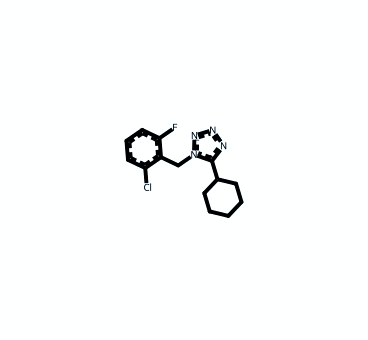 Fc1cccc(Cl)c1Cn1nnnc1C1CCCCC1